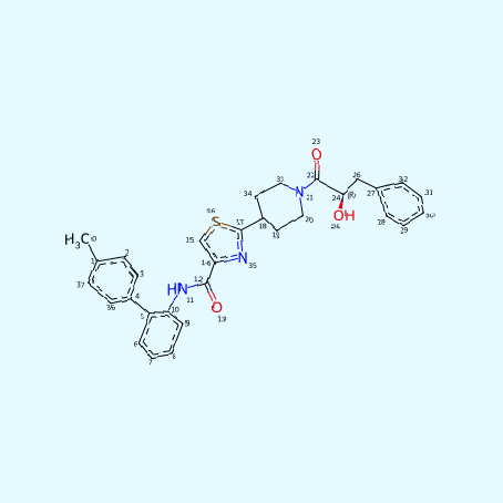 Cc1ccc(-c2ccccc2NC(=O)c2csc(C3CCN(C(=O)[C@H](O)Cc4ccccc4)CC3)n2)cc1